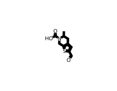 CC1Cc2cc(C=O)sc2CN1C(=O)O